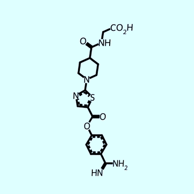 N=C(N)c1ccc(OC(=O)c2cnc(N3CCC(C(=O)NCC(=O)O)CC3)s2)cc1